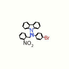 O=[N+]([O-])c1ccccc1C=Nc1ccc(Br)cc1.c1ccc2c(c1)[nH]c1ccccc12